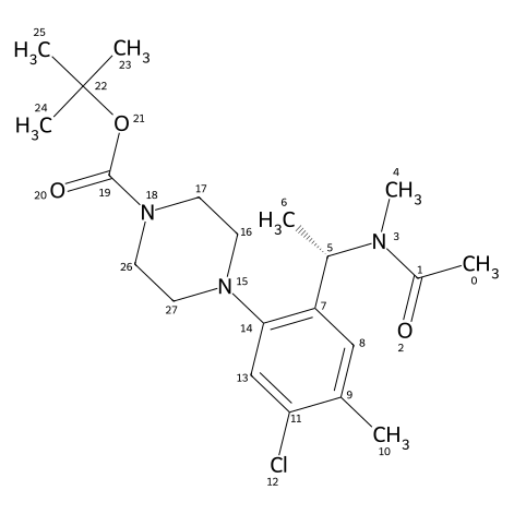 CC(=O)N(C)[C@@H](C)c1cc(C)c(Cl)cc1N1CCN(C(=O)OC(C)(C)C)CC1